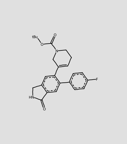 CC(C)(C)OC(=O)N1CCC=C(c2cc3c(cc2-c2ccc(F)cc2)C(=O)NC3)C1